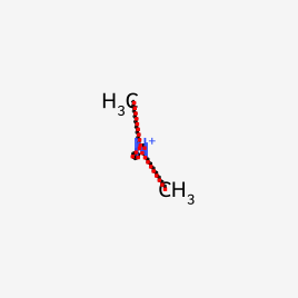 CCCCCCCCCCCCCCCCCn1cc[n+](CCCCCCCCCCCCCCCCC)c1Cc1ccccc1